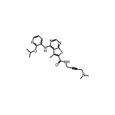 Cc1c(C(=O)NCC#CCN(C)C)sc2ncnc(Nc3cccnc3OC(C)C)c12